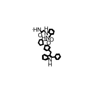 [NH]C(=O)CNc1ccccc1C(=O)NC(=O)[C@@H]1CCCC[C@H]1c1ccc(Cc2c(-c3ccccc3)[nH]c3ccccc23)cc1